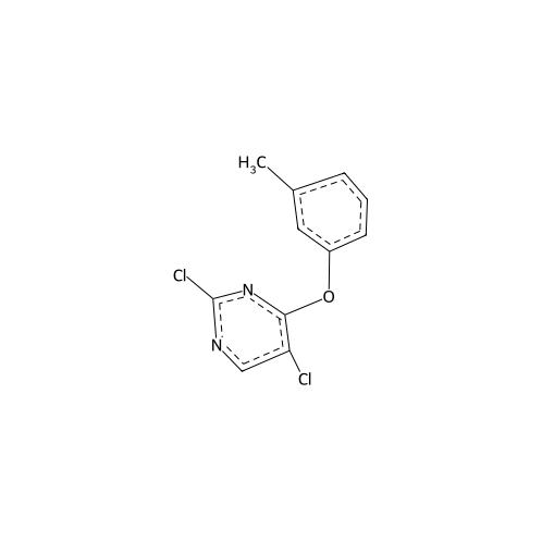 Cc1cccc(Oc2nc(Cl)ncc2Cl)c1